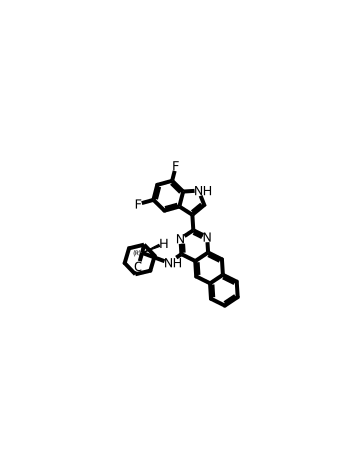 Fc1cc(F)c2[nH]cc(-c3nc(N[C@@H]4CC5CCC4CC5)c4cc5ccccc5cc4n3)c2c1